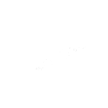 C=CCOC[C@H]1CC[C@H](CC[C@H]2CC[C@H](CCC)CC2)CC1